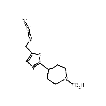 [N-]=[N+]=NCc1cnc(C2CCN(C(=O)O)CC2)s1